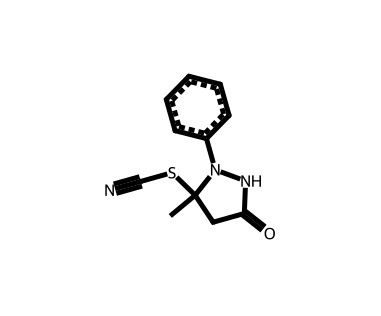 CC1(SC#N)CC(=O)NN1c1ccccc1